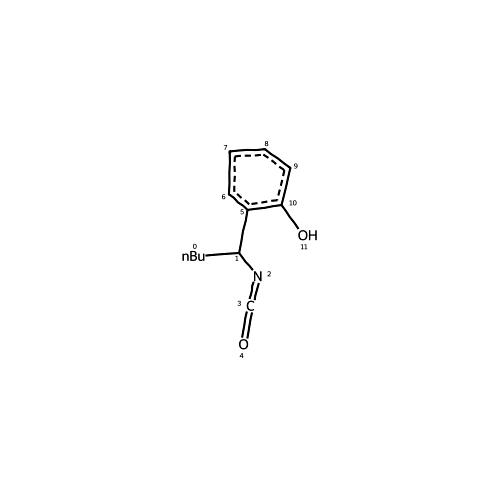 CCCCC(N=C=O)c1ccccc1O